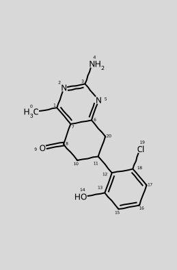 Cc1nc(N)nc2c1C(=O)CC(c1c(O)cccc1Cl)C2